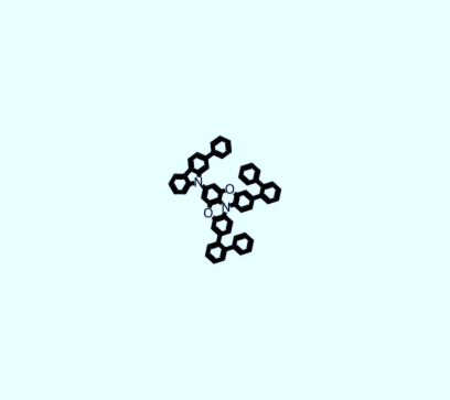 c1ccc(-c2ccc3c4ccccc4n(-c4cc5c6c(c4)Oc4cc(-c7ccccc7-c7ccccc7)ccc4N6c4ccc(-c6ccccc6-c6ccccc6)cc4O5)c3c2)cc1